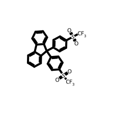 O=S(=O)(c1ccc(C2(c3ccc(S(=O)(=O)C(F)(F)F)cc3)c3ccccc3-c3ccccc32)cc1)C(F)(F)F